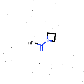 [CH2]CCNN1CCC1